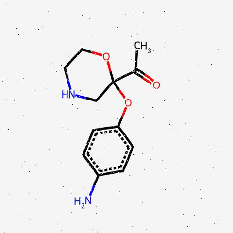 CC(=O)C1(Oc2ccc(N)cc2)CNCCO1